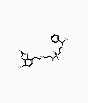 CC(OCCS(=O)(=O)NCCNCCc1ccc(O)c2[nH]c(=O)sc12)c1ccccc1